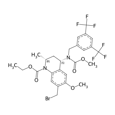 CCOC(=O)N1c2cc(CBr)c(OC)cc2[C@@H](N(Cc2cc(C(F)(F)F)cc(C(F)(F)F)c2)C(=O)OC)C[C@H]1C